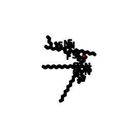 C=CC(CCCC)Cc1cc(-c2c(F)cc(-c3cc(CC(CC)CCCC)c(C)s3)c3nsnc23)sc1-c1ccc(-c2c(OCCCCCCCCCCCC)c(OCCCCCCCCCCCC)c(-c3ccc(C)s3)c3nsnc23)s1